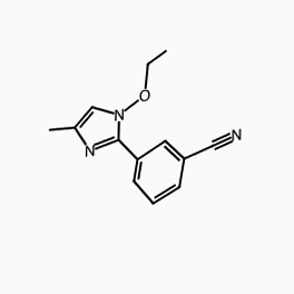 CCOn1cc(C)nc1-c1cccc(C#N)c1